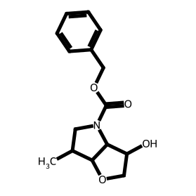 CC1CN(C(=O)OCc2ccccc2)C2C(O)COC12